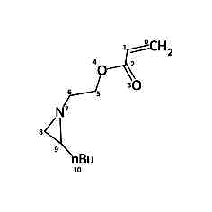 C=CC(=O)OCCN1CC1CCCC